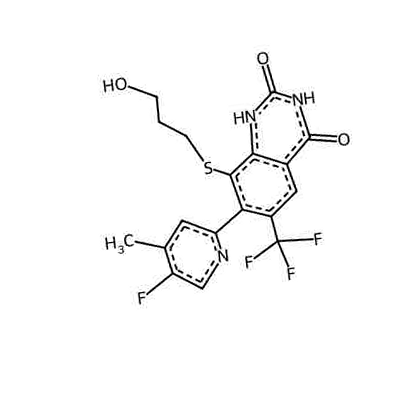 Cc1cc(-c2c(C(F)(F)F)cc3c(=O)[nH]c(=O)[nH]c3c2SCCCO)ncc1F